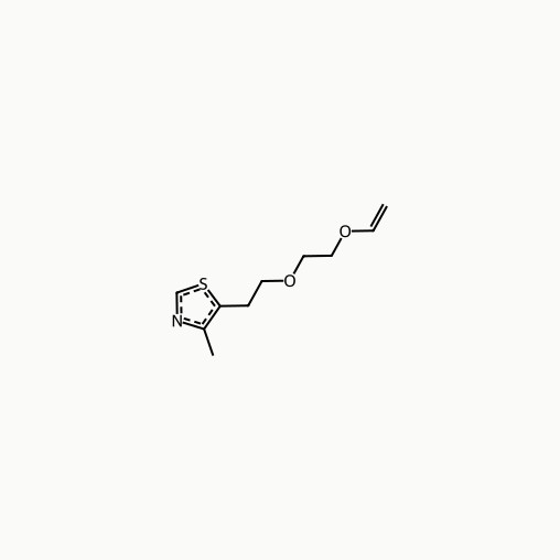 C=COCCOCCc1scnc1C